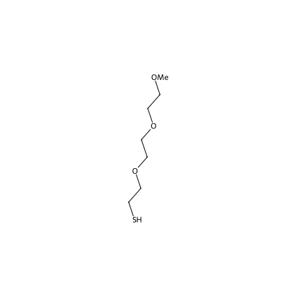 COCCOCCOCCS